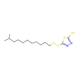 CC(C)CCCCCCCCCSSc1nnc(S)s1